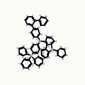 c1ccc(-c2ccccc2-c2ccc(N(c3ccc([Si](c4ccccc4)(c4ccccc4)c4ccccc4)cc3)c3cccc4c3c3ccccc3n4-c3ccccc3)cc2)cc1